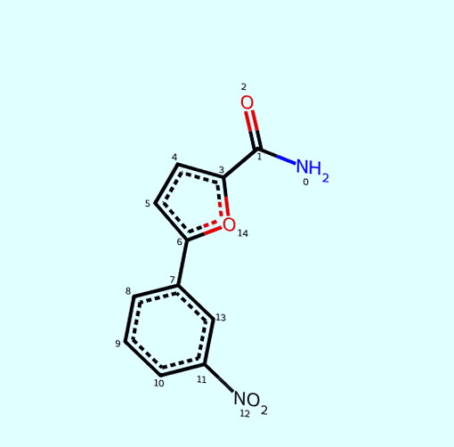 NC(=O)c1ccc(-c2cccc([N+](=O)[O-])c2)o1